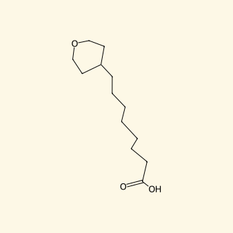 O=C(O)CCCCCCCC1CCOCC1